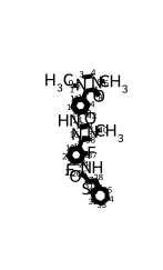 CCN1CCN(C)C(=O)C1c1ccc(Nc2nc(-c3ccc(F)c(NC(=O)c4cc5c(s4)CCCC5)c3F)cn(C)c2=O)cc1